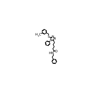 Cc1cccc(CSc2nnc(CCCCC(=O)NCCc3ccccc3)n2-c2ccccc2)c1